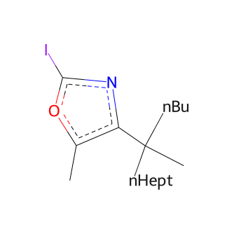 CCCCCCCC(C)(CCCC)c1nc(I)oc1C